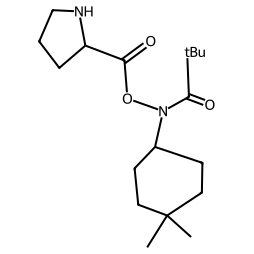 CC1(C)CCC(N(OC(=O)C2CCCN2)C(=O)C(C)(C)C)CC1